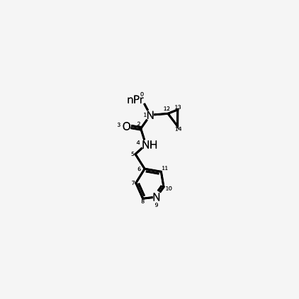 CCCN(C(=O)NCc1ccncc1)C1CC1